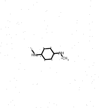 CNC1CCC(NI)CC1